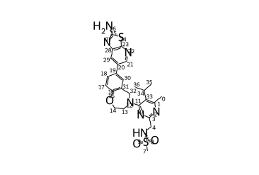 Cc1nc(CNS(C)(=O)=O)nc(N2CCOc3ccc(-c4cnc5sc(N)nc5c4)cc3C2)c1C(C)C